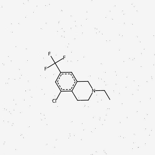 CCN1CCc2c(Cl)cc(C(F)(F)F)cc2C1